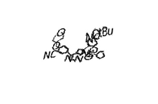 CC(C)(C)Oc1ccc(-c2cc3c(-c4ccc(OC5CCOCC5)c(C#N)c4)ncnc3n2S(=O)(=O)c2ccccc2)cn1